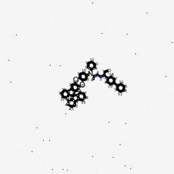 C=C/C(=C\C=C(/C)N(c1ccccc1)c1ccc2c(c1)Oc1cc3c(cc1O2)-c1ccccc1C31c2ccccc2-c2ccccc21)c1ccc(-c2ccccc2)cc1